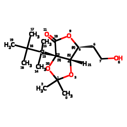 CC1(C)O[C@H]2[C@@H](CCO)OC(=O)[C@@]2([Si](C)(C)C(C)(C)C)O1